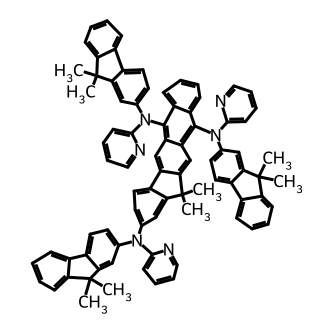 CC1(C)c2ccccc2-c2ccc(N(c3ccc4c(c3)C(C)(C)c3cc5c(N(c6ccc7c(c6)C(C)(C)c6ccccc6-7)c6ccccn6)c6ccccc6c(N(c6ccc7c(c6)C(C)(C)c6ccccc6-7)c6ccccn6)c5cc3-4)c3ccccn3)cc21